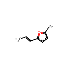 C/C=C/c1ccc(C(C)C)o1